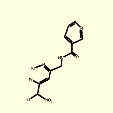 CCC(=CC(CNC(=O)c1cccnc1)=NO)C(CC)[N+](=O)[O-]